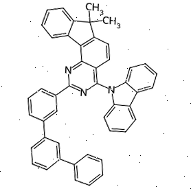 CC1(C)c2ccccc2-c2c1ccc1c(-n3c4ccccc4c4ccccc43)nc(-c3cccc(-c4cccc(-c5ccccc5)c4)c3)nc21